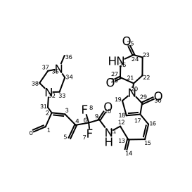 C=C/C(=C\C(=C)C(F)(F)C(=O)NCC(=C)/C=C\C1=CCN(C2CCC(=O)NC2=O)C1=O)CN1CCN(C)CC1